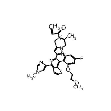 C=CC(=O)N1Cc2cc(-c3nc(-c4cn(C)cn4)c4ccsc4c3-c3c(F)cc(F)cc3OCCOC)nn2CC1C